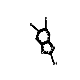 Fc1cc2nc(S)oc2cc1F